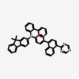 CC1(C)c2ccccc2-c2ccc(N(c3ccc(-c4ccc(-c5ncncn5)c5ccccc45)cc3)c3ccccc3-c3cccnc3)cc21